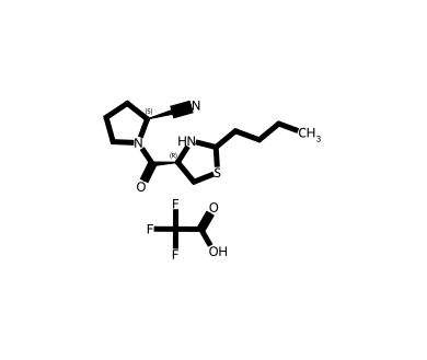 CCCCC1N[C@H](C(=O)N2CCC[C@H]2C#N)CS1.O=C(O)C(F)(F)F